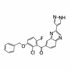 O=C(c1ccc2ncc(-c3cn[nH]c3)nc2c1)c1c(F)ccc(OCc2ccccc2)c1Cl